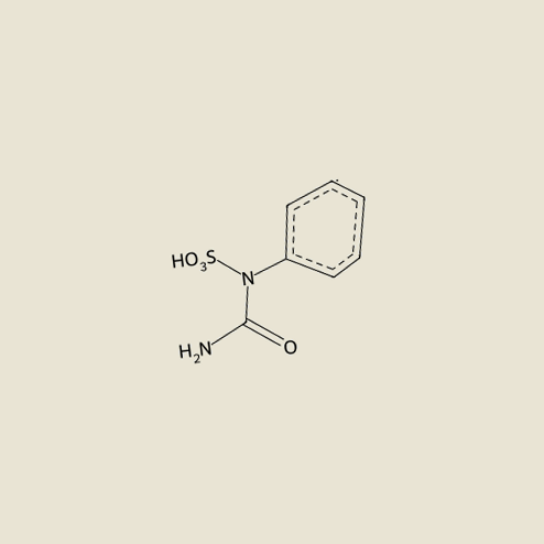 NC(=O)N(c1c[c]ccc1)S(=O)(=O)O